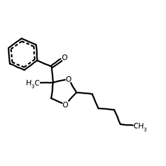 CCCCCC1OCC(C)(C(=O)c2ccccc2)O1